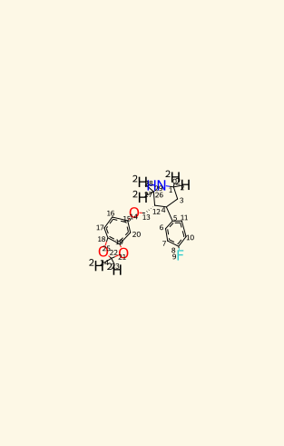 [2H]C1([2H])CC(c2ccc(F)cc2)[C@H](COc2ccc3c(c2)OC([2H])([2H])O3)C([2H])([2H])N1